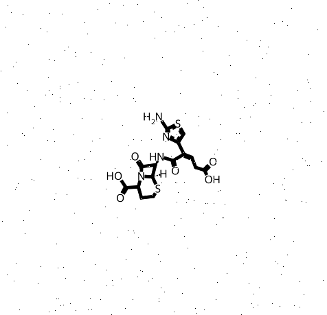 Nc1nc(/C(=C/CC(=O)O)C(=O)N[C@@H]2C(=O)N3C(C(=O)O)CCS[C@H]23)cs1